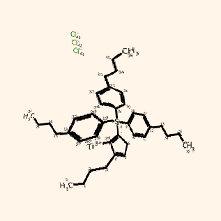 CCCCC1=CCC([Si](c2ccc(CCCC)cc2)(c2ccc(CCCC)cc2)c2ccc(CCCC)cc2)=[C]1[Ti+3].[Cl-].[Cl-].[Cl-]